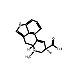 [2H][C@@]1(C(=O)O)C=C2c3cccc4[nH]cc(c34)C[C@H]2N(C)C1